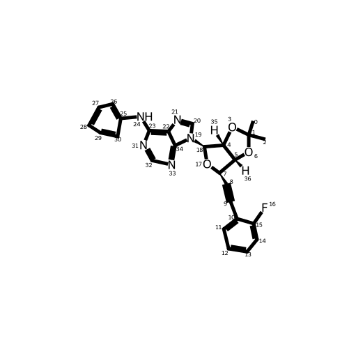 CC1(C)O[C@@H]2[C@H](O1)[C@@H](C#Cc1ccccc1F)O[C@H]2n1cnc2c(Nc3ccccc3)ncnc21